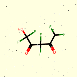 O=C(C(F)F)C(F)(F)C(=O)C(O)(F)F